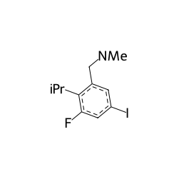 CNCc1cc(I)cc(F)c1C(C)C